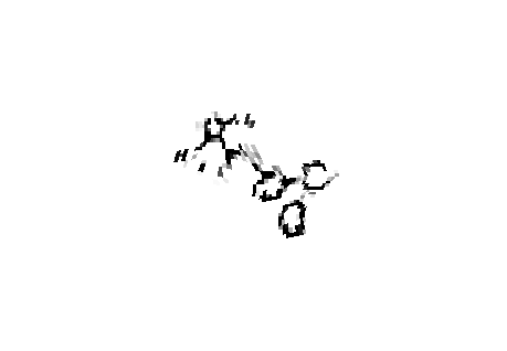 Cc1n[nH]c(C)c1C(C)Nc1nccc(N2CCOC[C@@H]2c2ccccc2)n1